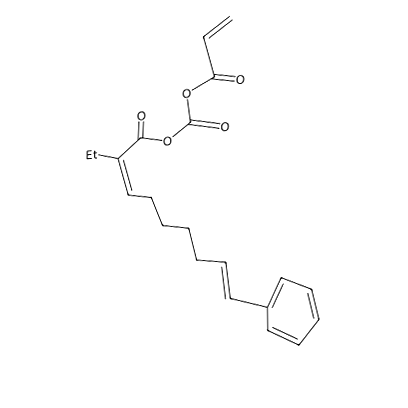 C=CC(=O)OC(=O)OC(=O)C(=CCCCCC=Cc1ccccc1)CC